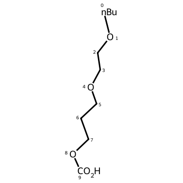 CCCCOCCOCCCOC(=O)O